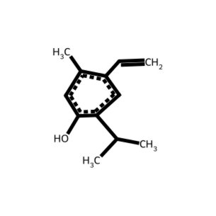 C=Cc1cc(C(C)C)c(O)cc1C